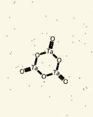 [O]=[Ta]1[O][Ta](=[O])[O][Ta](=[O])[O]1